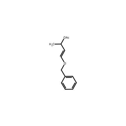 CC(=O)OC(C)C=COCc1ccccc1